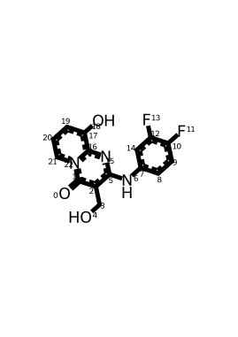 O=c1c(CO)c(Nc2ccc(F)c(F)c2)nc2c(O)cccn12